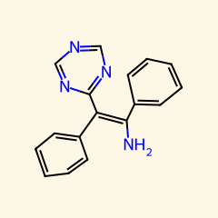 NC(=C(c1ccccc1)c1ncncn1)c1ccccc1